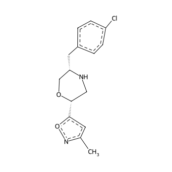 Cc1cc([C@H]2CN[C@@H](Cc3ccc(Cl)cc3)CO2)on1